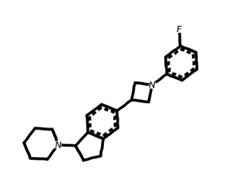 Fc1cccc(N2CC(c3ccc4c(c3)CCC4N3CCCCC3)C2)c1